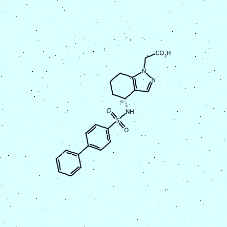 O=C(O)Cn1ncc2c1CCC[C@H]2NS(=O)(=O)c1ccc(-c2ccccc2)cc1